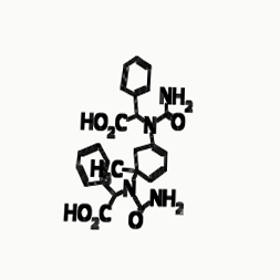 CC1(N(C(N)=O)C(C(=O)O)c2ccccc2)C=CC=C(N(C(N)=O)C(C(=O)O)c2ccccc2)C1